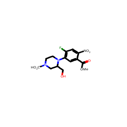 COC(=O)c1cc(N2CCN(C(=O)O)CC2CO)c(F)cc1[N+](=O)[O-]